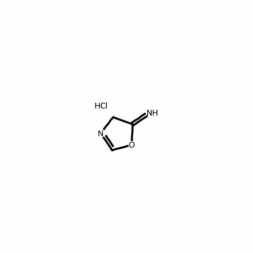 Cl.N=C1CN=CO1